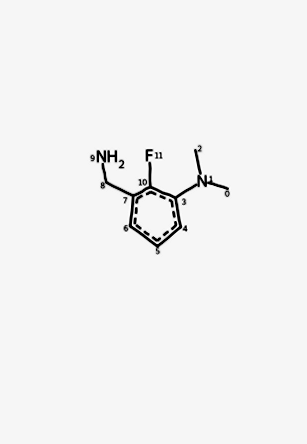 CN(C)c1cccc(CN)c1F